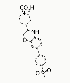 CS(=O)(=O)c1ccc(-c2ccc3c(c2)OCC(C2CCN(C(=O)O)CC2)N3)cc1